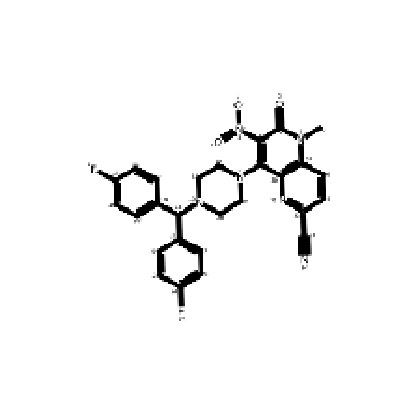 Cn1c(=O)c([N+](=O)[O-])c(N2CCN(C(c3ccc(F)cc3)c3ccc(F)cc3)CC2)c2nc(C#N)ccc21